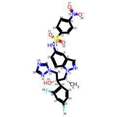 C[C@@H](n1ncc2cc(NS(=O)(=O)c3ccc([N+](=O)[O-])cc3)ccc21)[C@](O)(Cn1cncn1)c1ccc(F)cc1F